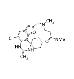 C=C1Nc2c(Cl)cc3cc(CN(C)CCC(=O)NC)oc3c2C2(CCCCC2)N1